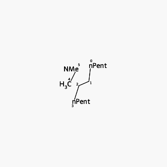 CCCCCCCCCCCC.CNC